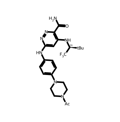 CC(=O)N1CCN(c2ccc(Nc3cc(N[C@@H](C(C)(C)C)C(F)(F)F)c(C(N)=O)nn3)cc2)CC1